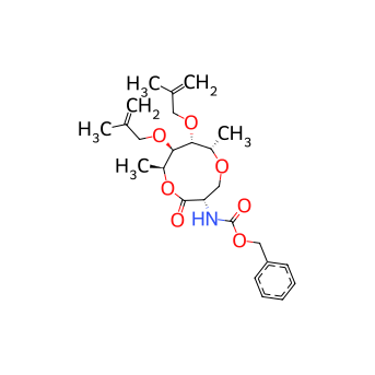 C=C(C)CO[C@H]1[C@H](OCC(=C)C)[C@H](C)OC(=O)[C@@H](NC(=O)OCc2ccccc2)CO[C@H]1C